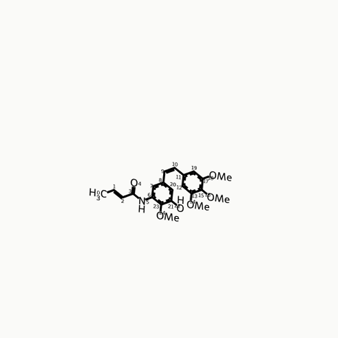 C/C=C/C(=O)Nc1cc(/C=C\c2cc(OC)c(OC)c(OC)c2)cc(O)c1OC